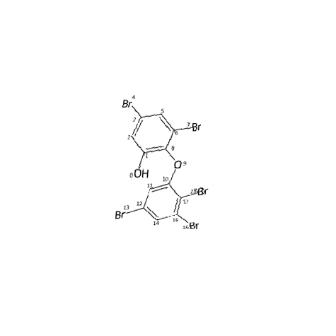 Oc1cc(Br)cc(Br)c1Oc1cc(Br)cc(Br)c1Br